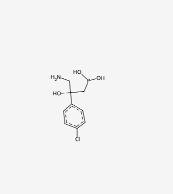 NCC(O)(CP(O)O)c1ccc(Cl)cc1